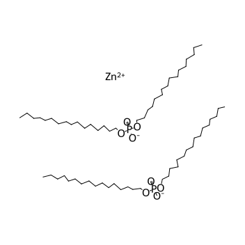 CCCCCCCCCCCCCCCCOP(=O)([O-])OCCCCCCCCCCCCCCCC.CCCCCCCCCCCCCCCCOP(=O)([O-])OCCCCCCCCCCCCCCCC.[Zn+2]